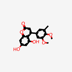 COc1cc(-c2cc(=O)oc3cc(O)cc(O)c23)cc(C)c1OC